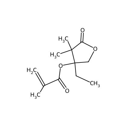 C=C(C)C(=O)OC1(CC)COC(=O)C1(C)C